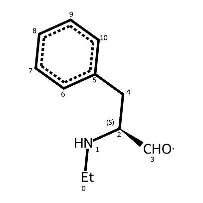 CCN[C@H]([C]=O)Cc1ccccc1